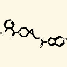 Cc1ccncc1C(=O)N1CCC2(CC1)CC2CNC(=O)N1C=C2C=CNC=C2C1